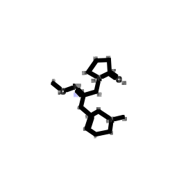 CO/N=C(\CC1=CCCN(C)C1)CN1CCCC1=O